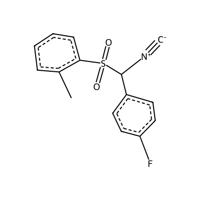 [C-]#[N+]C(c1ccc(F)cc1)S(=O)(=O)c1ccccc1C